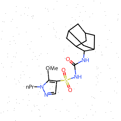 CCCn1ncc(S(=O)(=O)NC(=O)NC2C3CC4CC(C3)CC2C4)c1OC